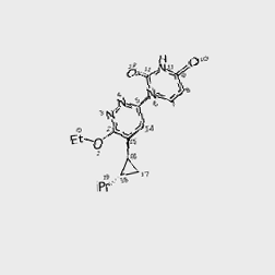 CCOc1nnc(-n2ccc(=O)[nH]c2=O)cc1[C@H]1C[C@@H]1C(C)C